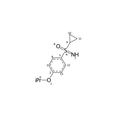 CC(C)Oc1ccc(S(=N)(=O)C2CC2)cc1